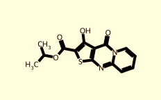 CC(C)OC(=O)c1sc2nc3ccccn3c(=O)c2c1O